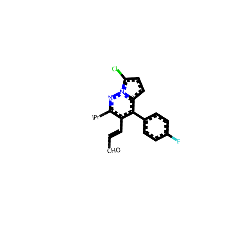 CC(C)c1nn2c(Cl)ccc2c(-c2ccc(F)cc2)c1C=CC=O